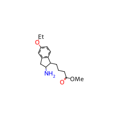 CCOc1ccc2c(c1)CC(N)C2CCCC(=O)OC